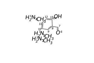 CN.CN.CN.O=Cc1ccccc1O